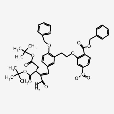 CC(C)(C)OC(=O)C[C@H](C(=O)OC(C)(C)C)/C(=C\c1ccc(OCc2ccccc2)c(CCOc2cc([N+](=O)[O-])ccc2C(=O)OCc2ccccc2)c1)C(N)=O